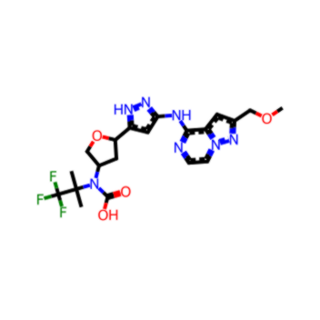 COCc1cc2c(Nc3cc(C4CC(N(C(=O)O)C(C)(C)C(F)(F)F)CO4)[nH]n3)nccn2n1